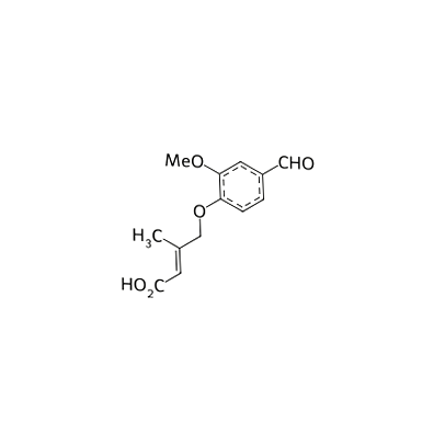 COc1cc(C=O)ccc1OC/C(C)=C/C(=O)O